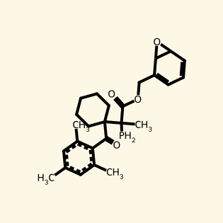 Cc1cc(C)c(C(=O)C2(C(C)(P)C(=O)OCC3=CC=CC4OC34)CCCCC2)c(C)c1